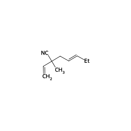 C=CC(C)(C#N)CC=CCC